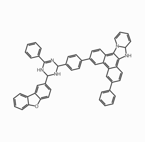 C1=CC2Nc3c(c4ccc(-c5ccc(C6N=C(c7ccccc7)NC(c7ccc8oc9ccccc9c8c7)N6)cc5)cc4c4cc(-c5ccccc5)ccc34)N2C=C1